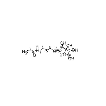 C=CC(=O)NCCSCCCO[C@@H](O)C1(O)C(O)[C@H](O)C1CO